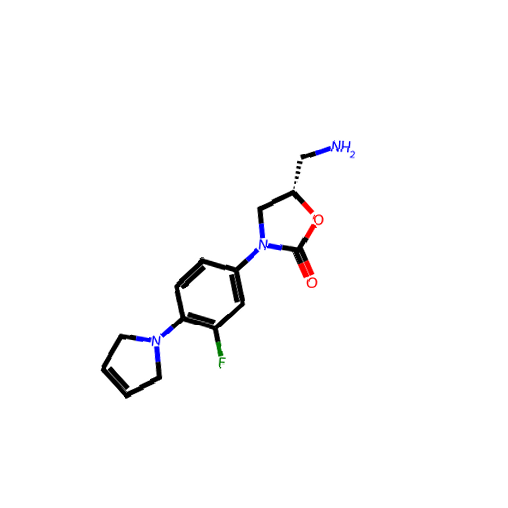 NC[C@H]1CN(c2ccc(N3CC=CC3)c(F)c2)C(=O)O1